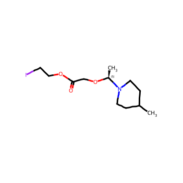 CC1CCN([C@H](C)OCC(=O)OCCI)CC1